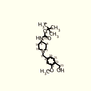 COc1cc(CN2CCC(NC(=O)OC(C)(C)C)CC2)ccc1CO